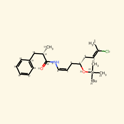 C/C(Cl)=C\C[C@@H](C/C=C\NC(=O)[C@@H](C)Cc1ccccc1)O[Si](C)(C)C(C)(C)C